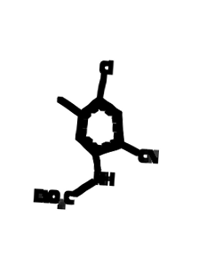 CCOC(=O)Nc1cc(C)c(Cl)cc1C#N